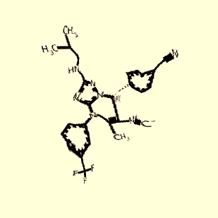 [C-]#[N+]C1=C(C)N(c2cccc(C(F)(F)F)c2)c2nc(NCC(C)C)nn2[C@@H]1c1ccc(C#N)cc1